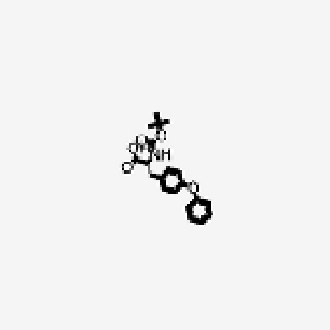 CC(C)(C)OC(=O)N[C@H](Cc1ccc(Oc2ccccc2)cc1)C(=O)O